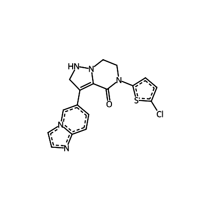 O=C1C2=C(c3ccc4nccn4c3)CNN2CCN1c1ccc(Cl)s1